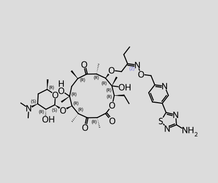 CC/C(CO[C@@H]1[C@@H](C)C(=O)[C@H](C)C[C@@](C)(O)[C@H](O[C@@H]2O[C@H](C)C[C@H](N(C)C)[C@H]2O)[C@@H](C)C(=O)[C@@H](C)C(=O)O[C@H](CC)[C@@]1(C)O)=N/OCc1ccc(-c2nc(N)ns2)cn1